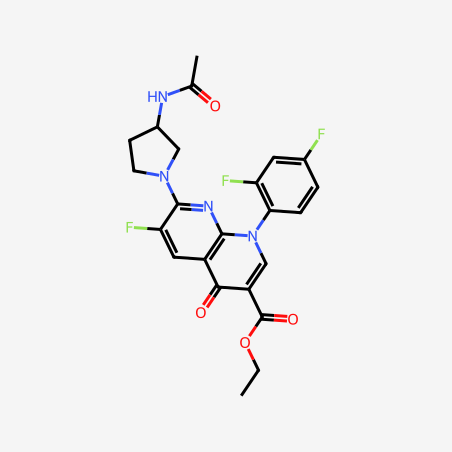 CCOC(=O)c1cn(-c2ccc(F)cc2F)c2nc(N3CCC(NC(C)=O)C3)c(F)cc2c1=O